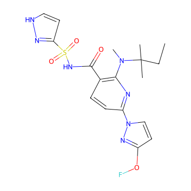 CCC(C)(C)N(C)c1nc(-n2ccc(OF)n2)ccc1C(=O)NS(=O)(=O)c1cc[nH]n1